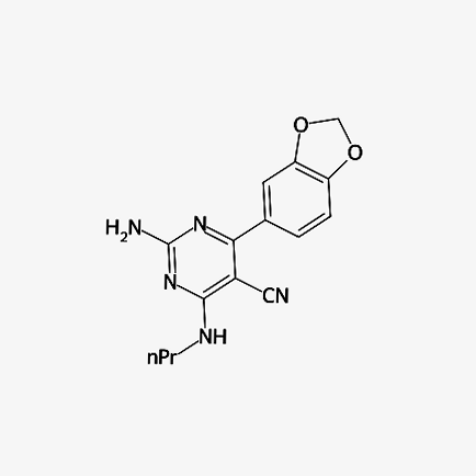 CCCNc1nc(N)nc(-c2ccc3c(c2)OCO3)c1C#N